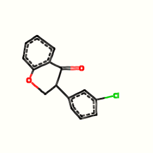 O=C1c2ccccc2OCC1c1cccc(Cl)c1